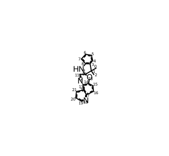 CC1(C)c2ccccc2NC12C=Nc1c(ccc3ncccc13)O2